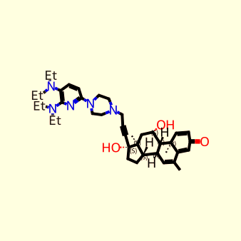 CCN(CC)c1ccc(N2CCN(CC#C[C@]3(O)CC[C@H]4[C@@H]5C=C(C)C6=CC(=O)C=C[C@]6(C)[C@H]5[C@@H](O)C[C@@]43C)CC2)nc1N(CC)CC